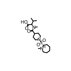 CC(C)C(C(=O)O)N(C)C(=O)C1CCN(S(=O)(=O)[C@@H]2CCCCCN2C)CC1